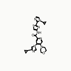 O=C(Nc1csc(-c2nccn2C2CC2)n1)c1cc(-n2cnc(C3CC3)c2)c(N2CCOCC2)cn1